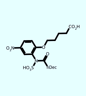 CCCCCCCCCCC(=O)N(c1cc([N+](=O)[O-])ccc1OCCCCC(=O)O)S(=O)(=O)O